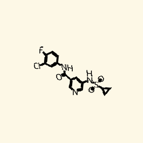 O=C(Nc1ccc(F)c(Cl)c1)c1cncc(NS(=O)(=O)C2CC2)c1